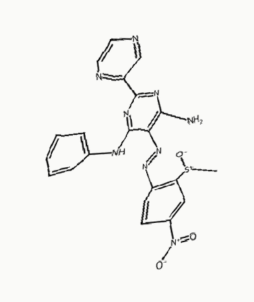 C[S+]([O-])c1cc([N+](=O)[O-])ccc1/N=N/c1c(N)nc(-c2cnccn2)nc1Nc1ccccc1